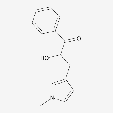 Cn1ccc(CC(O)C(=O)c2ccccc2)c1